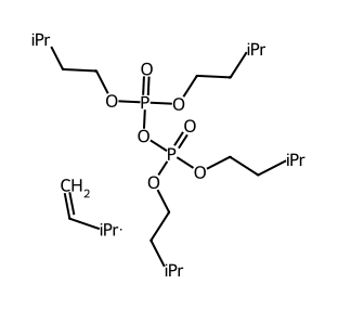 C=C[C](C)C.CC(C)CCOP(=O)(OCCC(C)C)OP(=O)(OCCC(C)C)OCCC(C)C